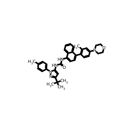 Cc1ccc(-n2nc(C(C)(C)C)cc2NC(=O)Nc2ccc(-c3ccc(N4CCOCC4)cc3C)c3ccccc23)cc1